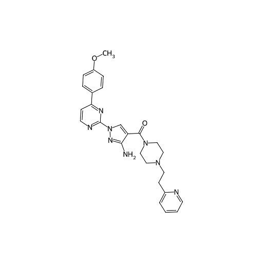 COc1ccc(-c2ccnc(-n3cc(C(=O)N4CCN(CCc5ccccn5)CC4)c(N)n3)n2)cc1